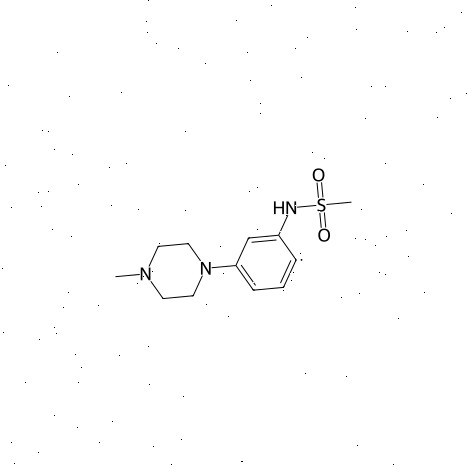 CN1CCN(c2cc[c]c(NS(C)(=O)=O)c2)CC1